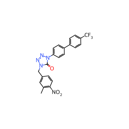 Cc1cc(Cn2nnn(-c3ccc(-c4ccc(C(F)(F)F)cc4)cc3)c2=O)ccc1[N+](=O)[O-]